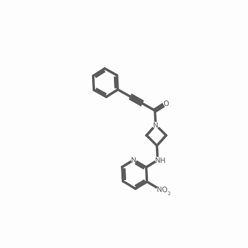 O=C(C#Cc1ccccc1)N1CC(Nc2ncccc2[N+](=O)[O-])C1